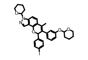 CC1=C(c2cccc(OC3CCCCO3)c2)C(c2ccc(I)cc2)Oc2c1ccc1c2cnn1C1CCCCO1